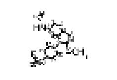 COc1ncc2ccc(NC3CC3)nc2c1-c1ccc(OC(F)F)cc1